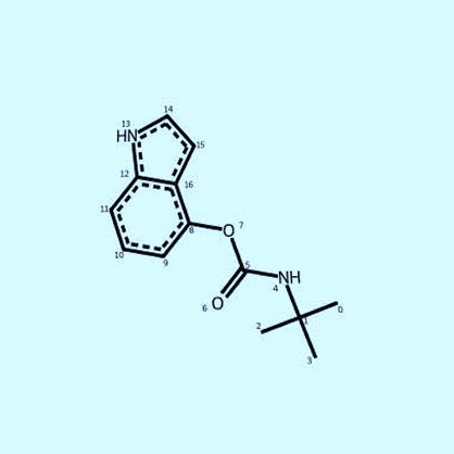 CC(C)(C)NC(=O)Oc1cccc2[nH]ccc12